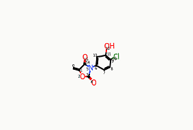 C=C1OC(=O)N(c2ccc(Cl)c(O)c2)C1=O